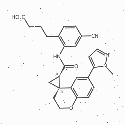 Cn1nccc1-c1ccc2c(c1)[C@]1(CCO2)C[C@H]1C(=O)Nc1cc(C#N)ccc1CCCC(=O)O